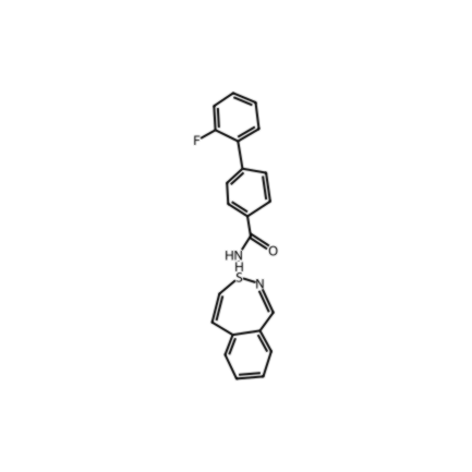 O=C(N[SH]1C=Cc2ccccc2C=N1)c1ccc(-c2ccccc2F)cc1